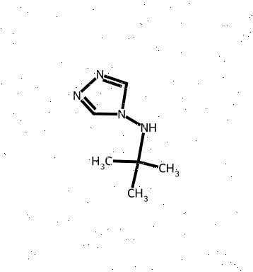 CC(C)(C)Nn1cnnc1